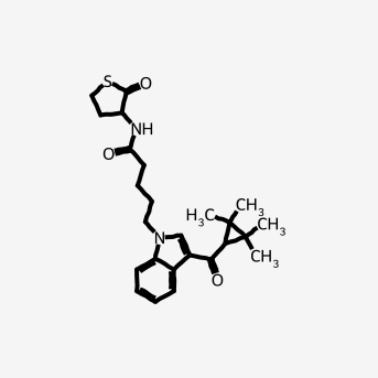 CC1(C)C(C(=O)c2cn(CCCCC(=O)NC3CCSC3=O)c3ccccc23)C1(C)C